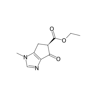 CCOC(=O)[C@@H]1Cc2c(ncn2C)C1=O